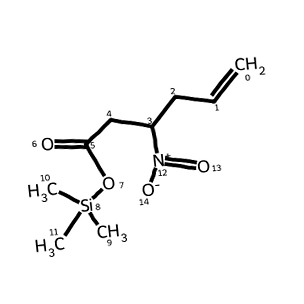 C=CCC(CC(=O)O[Si](C)(C)C)[N+](=O)[O-]